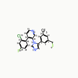 FCc1cc(-c2cncn2-c2cnccc2-c2ccc(F)cc2Cl)cc(C(F)(F)F)c1